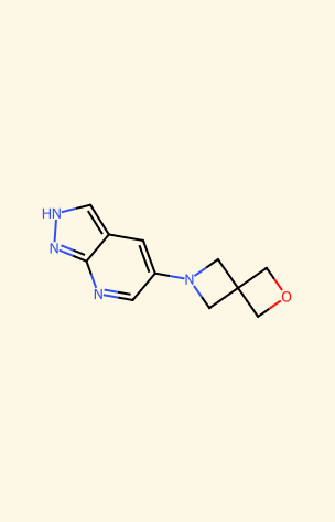 c1nc2n[nH]cc2cc1N1CC2(COC2)C1